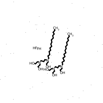 CCCCCCCCCCCCCCCCN(CCO)CCCN(CCO)CCO.CCCCCCCCCCCCCCCCN(CCO)CCCN(CCO)CCO.F.F